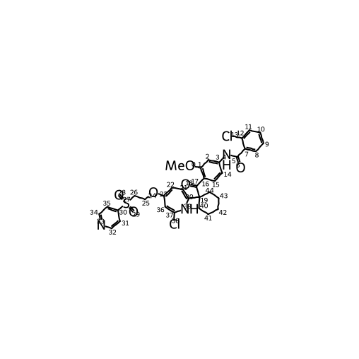 COc1cc(NC(=O)c2ccccc2Cl)ccc1C(=O)C1(C2=CC=C(OCCS(=O)(=O)c3ccncc3)C=C(Cl)N2)CCCCC1